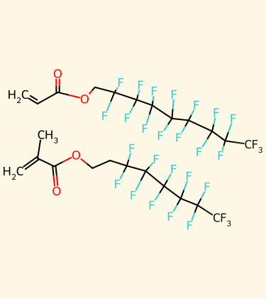 C=C(C)C(=O)OCCC(F)(F)C(F)(F)C(F)(F)C(F)(F)C(F)(F)C(F)(F)F.C=CC(=O)OCC(F)(F)C(F)(F)C(F)(F)C(F)(F)C(F)(F)C(F)(F)C(F)(F)C(F)(F)F